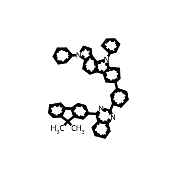 CC1(C)c2ccccc2-c2ccc(-c3nc(-c4cccc(-c5ccc6c(c5)c5ccc7c(ccn7-c7ccccc7)c5n6-c5ccccc5)c4)nc4ccccc34)cc21